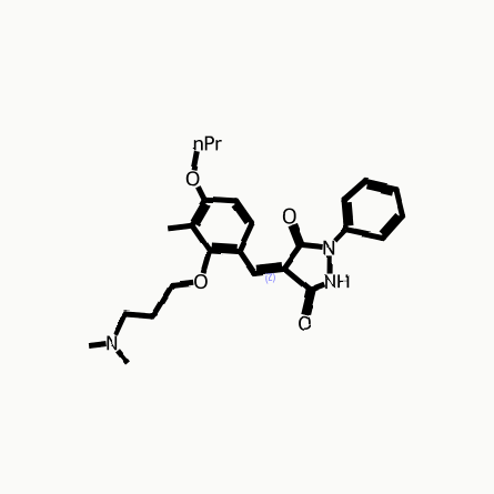 CCCOc1ccc(/C=C2/C(=O)NN(c3ccccc3)C2=O)c(OCCCN(C)C)c1C